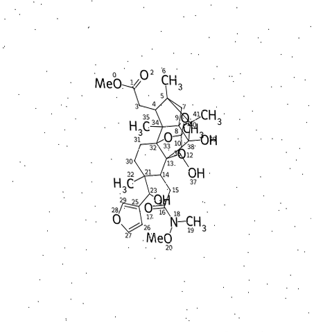 COC(=O)CC1C2(C)CC34OC5(C)OC6(C(CC(=O)N(C)OC)C(C)(C(O)c7ccoc7)CCC6(O5)C13C)C(O)C4(O)C2C